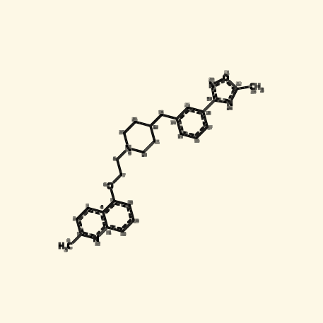 Cc1ccc2c(OCCN3CCC(Cc4cccc(-c5noc(C)n5)c4)CC3)cccc2n1